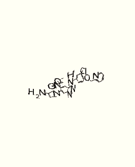 NC1CCN(c2cc3ncnc(Nc4ccc(OCc5ccccn5)c(Cl)c4)c3cc2[N+](=O)[O-])C1